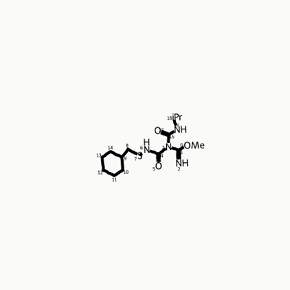 COC(=N)N(C(=O)NSCC1CCCCC1)C(=O)NC(C)C